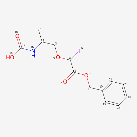 CC(COC(I)C(=O)OCc1ccccc1)NC(=O)O